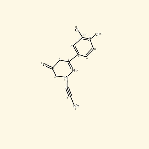 CCCC#CN1CC(=O)CC(c2ccc(Cl)c(Cl)c2)=N1